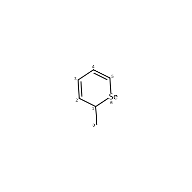 CC1C=CC=C[Se]1